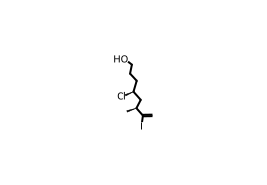 C=C(I)[C@@H](C)C[C@@H](Cl)CCCO